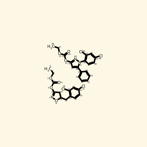 CCOC(=O)OC1=NOC(Cc2ccc(Cl)cc2Cl)C1.CCOC(=O)Oc1cc(-c2ccccc2)n(-c2ccc(Cl)cc2Cl)n1